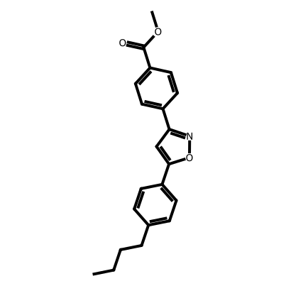 CCCCc1ccc(-c2cc(-c3ccc(C(=O)OC)cc3)no2)cc1